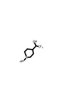 CCCN1CCC(C(O)C(F)(F)F)CC1